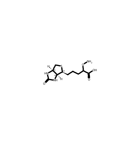 NOC(CCC[C@@H]1SC[C@@H]2NC(=O)N[C@@H]21)C(=O)O